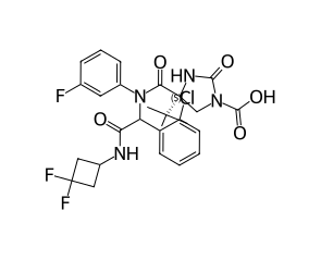 CC(C)(C)[C@@]1(C(=O)N(c2cccc(F)c2)C(C(=O)NC2CC(F)(F)C2)c2ccccc2Cl)CN(C(=O)O)C(=O)N1